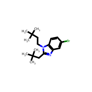 CC(C)(C)CCn1c(CC(C)(C)C)nc2cc(Br)ccc21